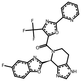 O=C(c1oc(-c2ccccn2)nc1C(F)(F)F)N1CCc2[nH]cnc2[C@H]1c1nc2cc(F)ccc2o1